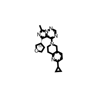 Cc1nc([C@@H]2CCOC2)c2c(N3CCc4nc(C5CC5)ccc4C3)ncnn12